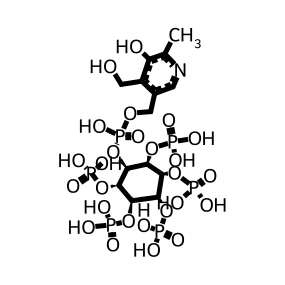 Cc1ncc(COP(=O)(O)O[C@@H]2[C@@H](OP(=O)(O)O)[C@H](OP(=O)(O)O)[C@@H](OP(=O)(O)O)[C@H](OP(=O)(O)O)[C@@H]2OP(=O)(O)O)c(CO)c1O